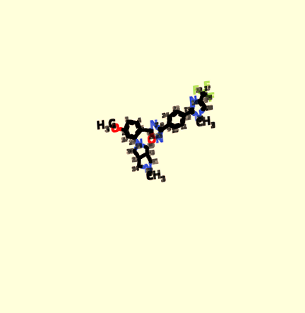 COc1ccc(-c2nc(-c3ccc(-c4nc(C(F)(F)F)cn4C)cc3)no2)c(N2CC3CN(C)CC3C2)c1